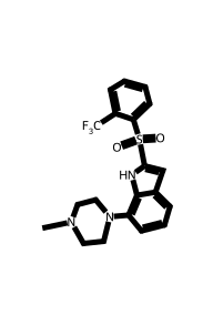 CN1CCN(c2cccc3cc(S(=O)(=O)c4ccccc4C(F)(F)F)[nH]c23)CC1